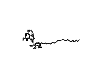 C#CC(CO)(OC)[C@H](Cn1cnc2c(N)nc(F)nc21)OC(=O)CCCCCCCCCCCCCCCCCCC